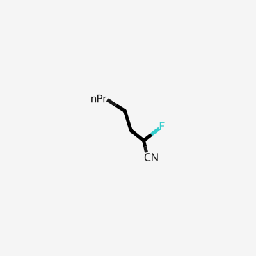 CCCCCC(F)C#N